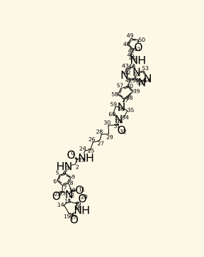 O=C(CNc1ccc2c(c1)C(=O)N(C1CCC(=O)NC1=O)C2=O)NCCCCCCCC(=O)N1CCN(c2ccc(-c3ncc(NCc4ccco4)n4cnnc34)cc2)CC1